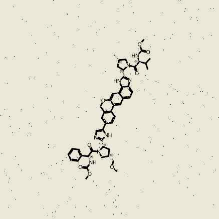 COC[C@H]1C[C@@H](c2ncc(-c3ccc4c(c3)COc3cc5c(ccc6nc([C@@H]7C[C@H](C)CN7C(=O)[C@@H](NC(=O)OC)C(C)C)[nH]c65)cc3-4)[nH]2)N(C(=O)[C@H](NC(=O)OC)c2ccccc2)C1